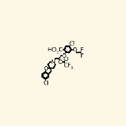 O=C(O)c1cc(Cl)c(OCC(F)F)cc1OC[C@H](CN1CCC2(CC1)Cc1cc(Cl)ccc1O2)OC(=O)C(F)(F)F